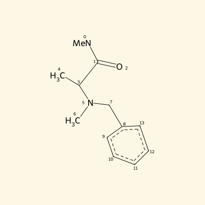 CNC(=O)C(C)N(C)Cc1ccccc1